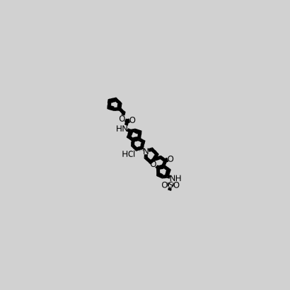 CS(=O)(=O)Nc1ccc2c(c1)C(=O)CC1(CCN([C@@H]3CCc4cc(NC(=O)OCc5ccccc5)ccc4C3)CC1)O2.Cl